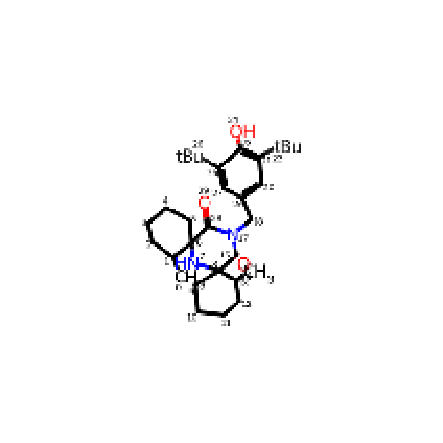 CC1CCCCC12NC1(CCCCC1C)C(=O)N(Cc1cc(C(C)(C)C)c(O)c(C(C)(C)C)c1)C2=O